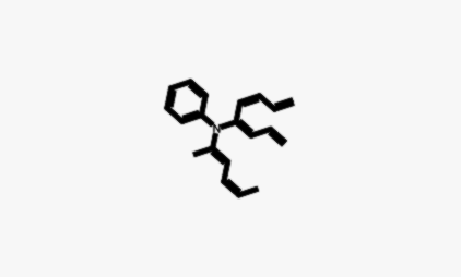 C=C/C=C\C(=C/C=C)N(/C(C)=C/C=C\C)c1ccccc1